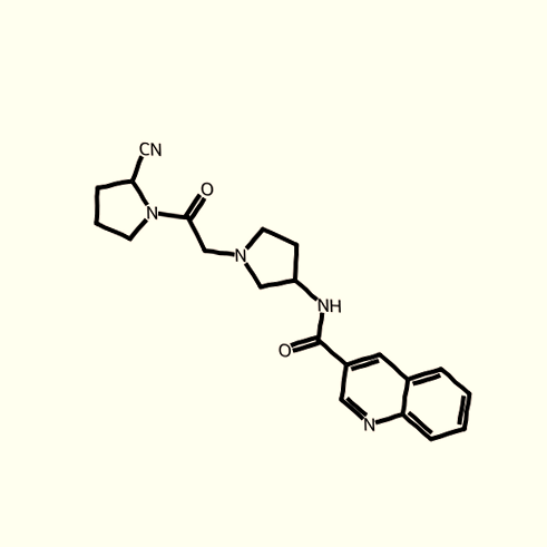 N#CC1CCCN1C(=O)CN1CCC(NC(=O)c2cnc3ccccc3c2)C1